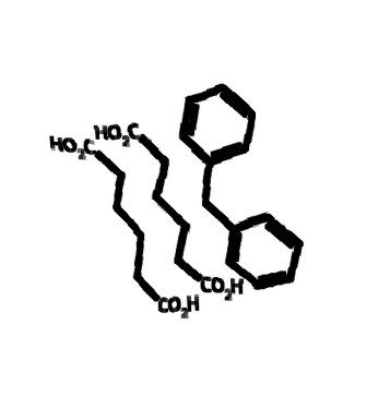 O=C(O)CCCCC(=O)O.O=C(O)CCCCC(=O)O.c1ccc(Cc2ccccc2)cc1